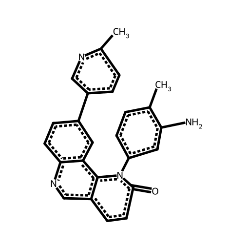 Cc1ccc(-c2ccc3ncc4ccc(=O)n(-c5ccc(C)c(N)c5)c4c3c2)cn1